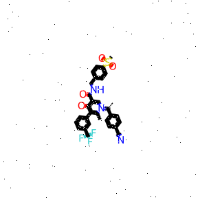 Cc1c(-c2cccc(C(F)(F)F)c2)c(=O)c(C(=O)NCc2ccc(S(C)(=O)=O)cc2)cn1[C@H](C)c1ccc(C#N)cc1